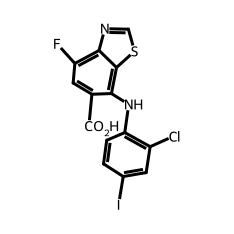 O=C(O)c1cc(F)c2ncsc2c1Nc1ccc(I)cc1Cl